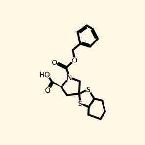 O=C(O)[C@@H]1CC2(CN1C(=O)OCc1ccccc1)SC1CCCCC1S2